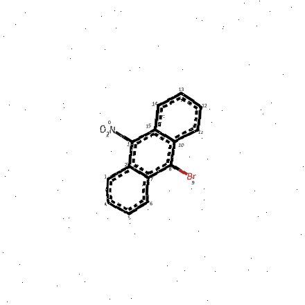 O=[N+]([O-])c1c2ccccc2c(Br)c2ccccc12